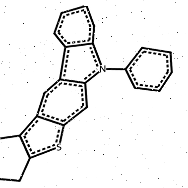 c1ccc(-n2c3ccccc3c3cc4c5c(sc4cc32)CCCC5)cc1